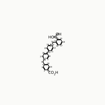 O=C(O)c1ccc(C[n+]2ccc(-c3cc[n+](Cc4ccccc4B(O)O)cc3)cc2)cc1